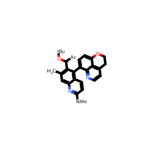 CNc1ccc2c(-c3ccc4c5c(ccnc35)CCO4)c(C(OC(C)(C)C)C(C)=O)c(C)cc2n1